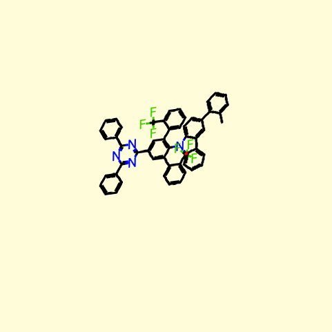 Cc1ccccc1-c1ccc2c(c1)c1ccccc1n2-c1c(-c2ccccc2C(F)(F)F)cc(-c2nc(-c3ccccc3)nc(-c3ccccc3)n2)cc1-c1ccccc1C(F)(F)F